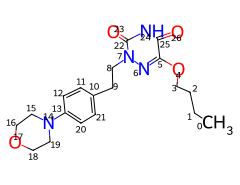 CCCCOc1nn(CCc2ccc(N3CCOCC3)cc2)c(=O)[nH]c1=O